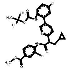 COC(=O)c1ccc(NC(=O)C(CC2CC2)c2ccc(-c3cc(Cl)ccc3NC(=O)OC(C)(C)C)cn2)c(Cl)c1